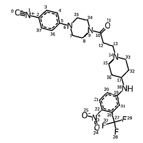 [C-]#[N+]c1ccc(N2CCN(C(=O)CCN3CCC(Nc4ccc([N+](=O)[O-])c(C(F)(F)F)c4)CC3)CC2)cc1